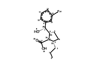 CCC[C@H]1CC[C@@H]([C@H](O)c2cccc(F)c2)N1C(=O)O